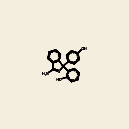 NC1=NC(c2ccc(O)cc2)(c2ccccc2O)c2ccccc21